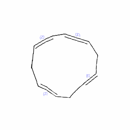 C1=C\C/C=C\C/C=C/C\C=C/1